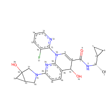 O=C(N[C@H](C1CC1)C(F)(F)F)C1=CN(c2ncccc2F)c2nc(N3CC4CC4(O)C3)ccc2C1O